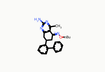 CCCCO/N=C1\CC(c2ccccc2-c2ccccc2)Cc2nc(N)nc(C)c21